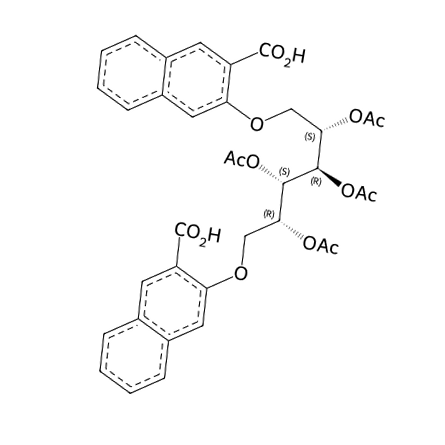 CC(=O)O[C@H]([C@H](OC(C)=O)[C@H](COc1cc2ccccc2cc1C(=O)O)OC(C)=O)[C@@H](COc1cc2ccccc2cc1C(=O)O)OC(C)=O